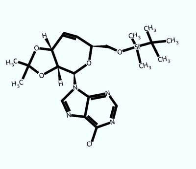 CC1(C)O[C@H]2[C@H](n3cnc4c(Cl)ncnc43)O[C@H](CO[Si](C)(C)C(C)(C)C)C=C[C@H]2O1